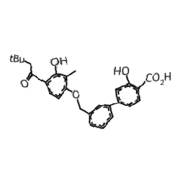 Cc1c(OCc2cccc(-c3ccc(C(=O)O)c(O)c3)c2)ccc(C(=O)CC(C)(C)C)c1O